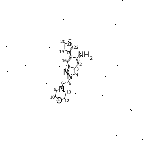 Nc1cc2cn(CCN3CCOCC3)nc2cc1-c1ccsc1